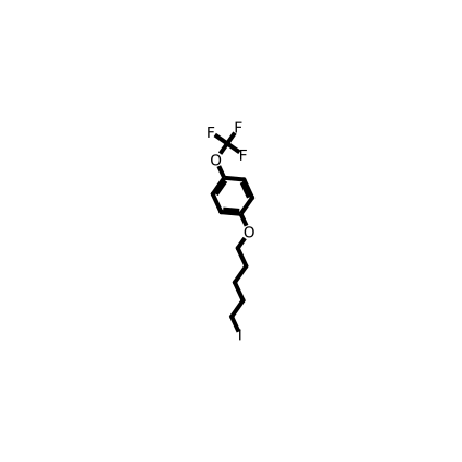 FC(F)(F)Oc1ccc(OCCCCCI)cc1